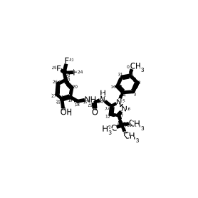 Cc1ccc(-n2nc(C(C)(C)C)cc2NC(=O)NCc2cc(C(F)(F)F)ccc2O)cc1